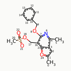 Cc1cc2c(C)nc(OCc3ccccc3)c(COS(C)(=O)=O)c2o1